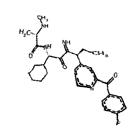 CC[C@H](C(=N)C(=O)[C@@H](NC(=O)[C@H](C)NC)C1CCCCC1)c1ccnc(C(=O)c2ccc(F)cc2)c1